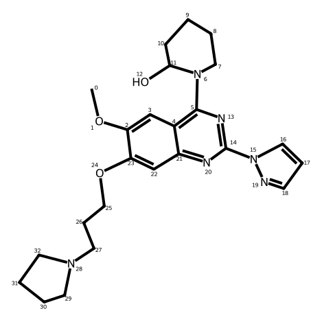 COc1cc2c(N3CCCCC3O)nc(-n3cccn3)nc2cc1OCCCN1CCCC1